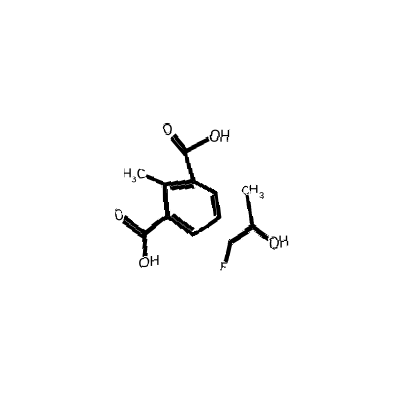 CC(O)CF.Cc1c(C(=O)O)cccc1C(=O)O